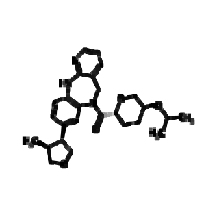 CC(C)O[C@H]1CC[C@H](C(=O)N2Cc3cccnc3Nc3ccc([C@H]4COC[C@H]4C)cc32)OC1